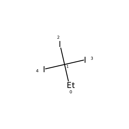 CCC(I)(I)I